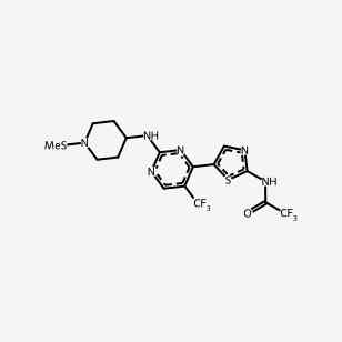 CSN1CCC(Nc2ncc(C(F)(F)F)c(-c3cnc(NC(=O)C(F)(F)F)s3)n2)CC1